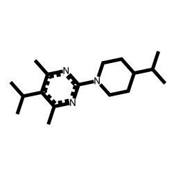 Cc1nc(N2CCC(C(C)C)CC2)nc(C)c1C(C)C